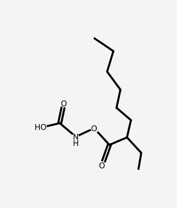 CCCCCCC(CC)C(=O)ONC(=O)O